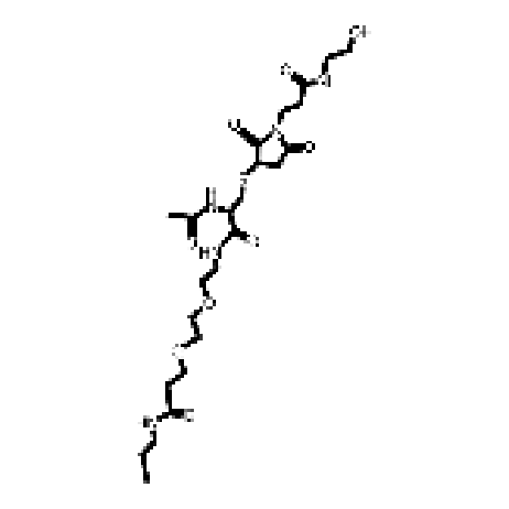 CCCNC(=O)CCOCCOCCNC(=O)C(CSC1CC(=O)N(CCC(=O)NCCO)C1=O)NC(C)=O